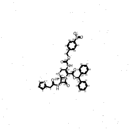 O=C(Cc1cccs1)NC1C(=O)N2C(C(=O)OC(c3ccccc3)c3ccccc3)=C(NC(=O)OCc3ccc([N+](=O)[O-])cc3)CS[C@H]12